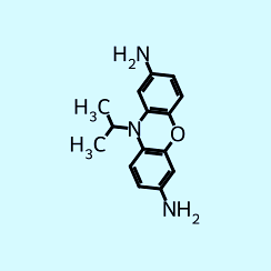 CC(C)N1c2ccc(N)cc2Oc2ccc(N)cc21